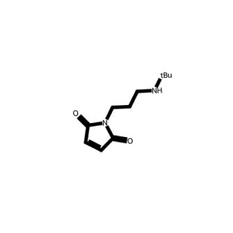 CC(C)(C)NCCCN1C(=O)C=CC1=O